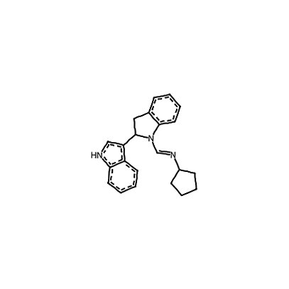 C(=N\C1CCCC1)/N1c2ccccc2CC1c1c[nH]c2ccccc12